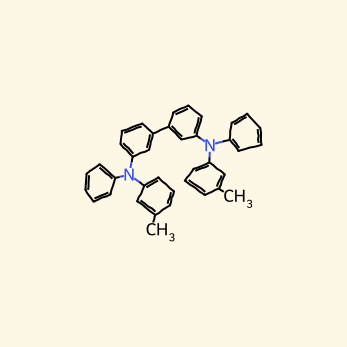 Cc1cccc(N(c2ccccc2)c2cccc(-c3cccc(N(c4ccccc4)c4cccc(C)c4)c3)c2)c1